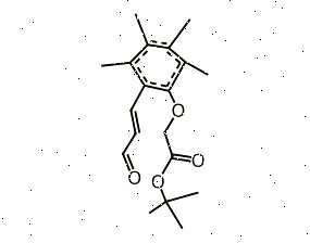 Cc1c(C)c(C)c(OCC(=O)OC(C)(C)C)c(C=CC=O)c1C